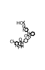 CC(O)COc1ccc(-n2c(=O)n(CC3CCC(NC(=O)c4cc(Cl)cnc4C(F)(F)F)CC3)c3ccccc32)cn1